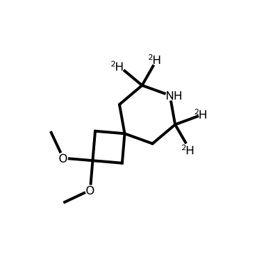 [2H]C1([2H])CC2(CC([2H])([2H])N1)CC(OC)(OC)C2